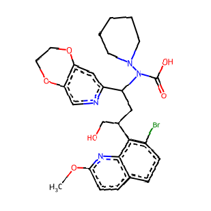 COc1ccc2ccc(Br)c(C(CO)CC(c3cc4c(cn3)OCCO4)N(C(=O)O)N3CCCCC3)c2n1